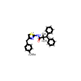 COc1ccc(Cc2csc(NC(=O)C(C)(C)C(c3ccccc3)c3ccccc3)n2)cc1